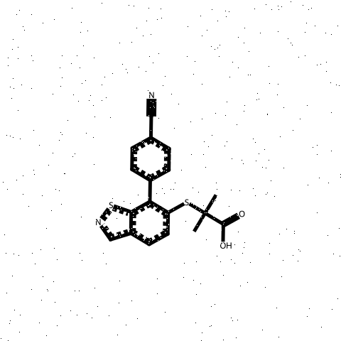 CC(C)(Sc1ccc2cnsc2c1-c1ccc(C#N)cc1)C(=O)O